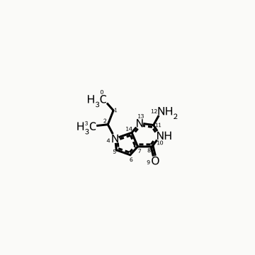 CCC(C)n1ccc2c(=O)[nH]c(N)nc21